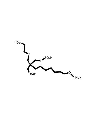 CCCCCCCCCCCCOC[C@@](CCCCCCCOCCCCCC)(COC)COS(=O)(=O)O